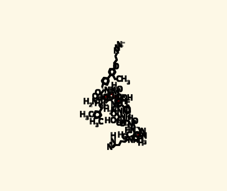 CCc1cc(OCCCCN=[N+]=[N-])ccc1-c1ccc(C[C@H](NC(=O)[C@H](CC(=O)O)NC(=O)[C@H](CO)NC(=O)[C@@H](NC(=O)[C@](C)(Cc2ccccc2F)NC(=O)[C@@H](NC(=O)CNC(=O)[C@H](Cc2nn[nH]n2)NC(=O)C(C)(C)NC(=O)CCCc2cnc[nH]2)[C@@H](C)O)[C@@H](C)O)C(=O)N[C@@H](CCCc2cc(C)cc(C)c2)C(N)=O)cc1